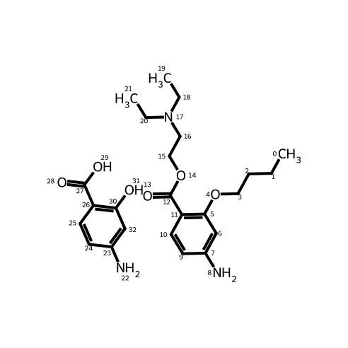 CCCCOc1cc(N)ccc1C(=O)OCCN(CC)CC.Nc1ccc(C(=O)O)c(O)c1